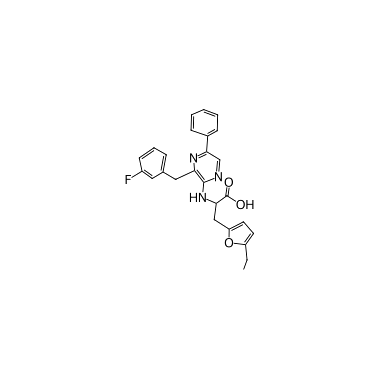 CCc1ccc(CC(Nc2ncc(-c3ccccc3)nc2Cc2cccc(F)c2)C(=O)O)o1